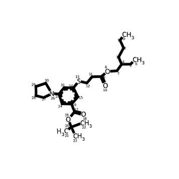 CCCCC(CC)COC(=O)CCSc1cc(C(=O)OC(C)(C)C)cc(N2CCCC2)c1